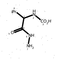 CC(C)C(NC(=O)O)C(=O)NN